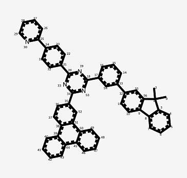 CC1(C)c2ccccc2-c2ccc(-c3cccc(-c4nc(-c5ccc(-c6ccccn6)cc5)nc(-c5ccc6c7ccccc7c7ccccc7c6c5)n4)c3)cc21